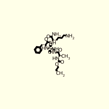 C=CCOC(=O)N[C@@H](C)C(=O)NNS(=O)(=O)N[C@H](Cc1ccccc1)C(=O)N[C@@H](CCCCN)C(N)=O